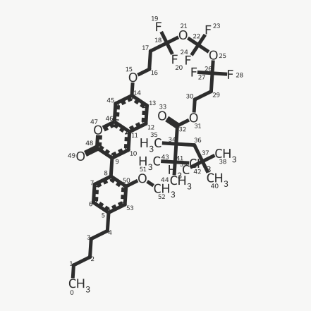 CCCCCc1ccc(-c2cc3ccc(OCCC(F)(F)OC(F)(F)OC(F)(F)CCOC(=O)C(C)(CC(C)(C)C)C(C)(C)C)cc3oc2=O)c(OC)c1